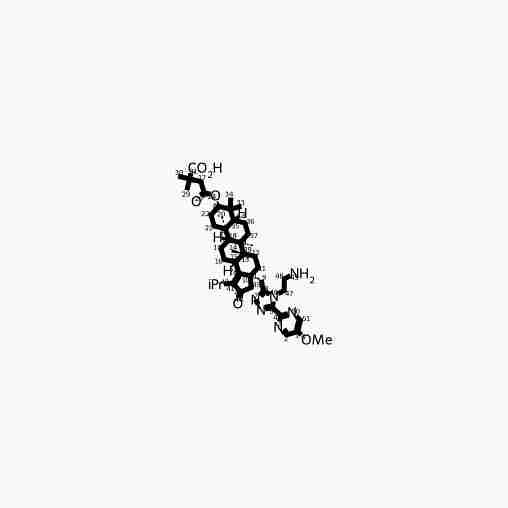 COc1cnc(-c2nnc(C[C@@]34CC[C@]5(C)[C@H](CC[C@@H]6[C@@]7(C)CC[C@H](OC(=O)CC(C)(C)C(=O)O)C(C)(C)[C@@H]7CC[C@]65C)C3=C(C(C)C)C(=O)C4)n2CCN)nc1